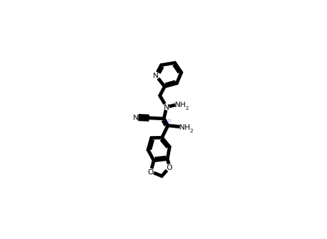 N#C/C(=C(/N)c1ccc2c(c1)OCO2)N(N)Cc1ccccn1